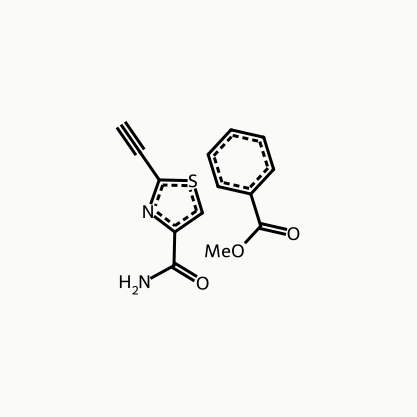 C#Cc1nc(C(N)=O)cs1.COC(=O)c1ccccc1